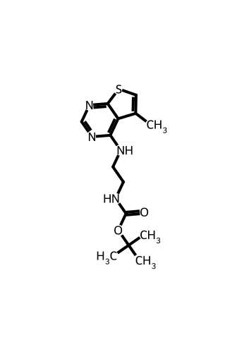 Cc1csc2ncnc(NCCNC(=O)OC(C)(C)C)c12